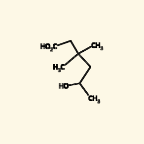 CC(O)CC(C)(C)CC(=O)O